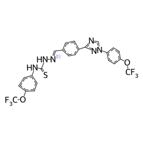 FC(F)(F)Oc1ccc(NC(=S)N/N=C/c2ccc(-c3ncn(-c4ccc(OC(F)(F)F)cc4)n3)cc2)cc1